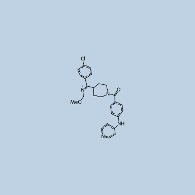 COC/N=C(/c1ccc(Cl)cc1)C1CCN(C(=O)c2ccc(Nc3ccncc3)cc2)CC1